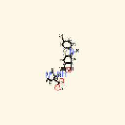 COC(=O)c1ccncc1NC[C@@H]1OCc2cc(N(C)c3ccc(C)cc3)ccc21